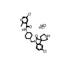 Cc1ncc(Cl)cc1C(=O)N[C@H]1CC[C@H](CN2C(=O)C3(CCNCC3)c3cc(Cl)ccc32)CC1.Cl.Cl